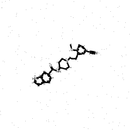 COc1ccc(C#N)cc1CCN1CCC(NC(=O)c2ccc3cc[nH]c3c2)CC1